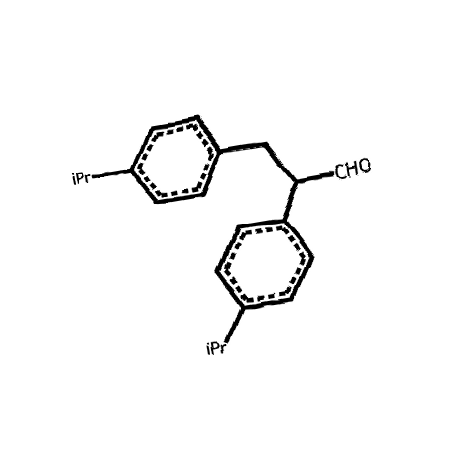 CC(C)c1ccc(CC(C=O)c2ccc(C(C)C)cc2)cc1